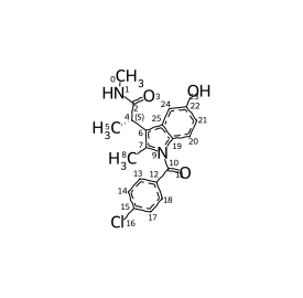 CNC(=O)[C@@H](C)c1c(C)n(C(=O)c2ccc(Cl)cc2)c2ccc(O)cc12